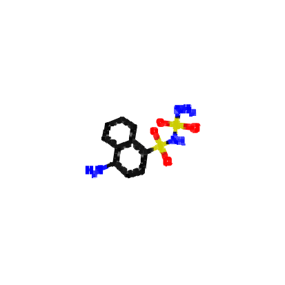 Nc1ccc(S(=O)(=O)NS(N)(=O)=O)c2ccccc12